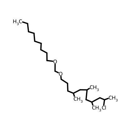 CCCCCCCCCOCOCCCC(C)CC(C)CC(C)CC(C)Cl